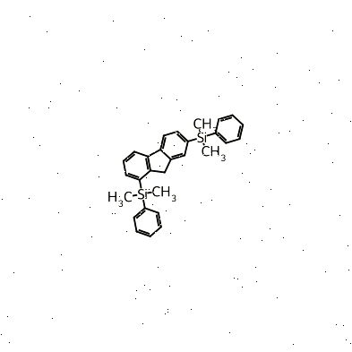 C[Si](C)(c1ccccc1)c1ccc2c(c1)Cc1c-2cccc1[Si](C)(C)c1ccccc1